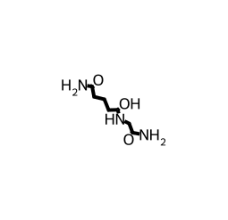 NC(=O)CCCC(O)NCC(N)=O